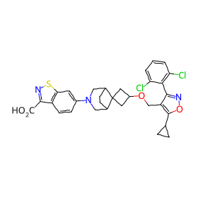 O=C(O)c1nsc2cc(N3CC4CCC(C3)C43CC(OCc4c(-c5c(Cl)cccc5Cl)noc4C4CC4)C3)ccc12